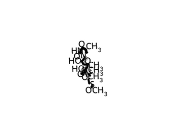 CC(=O)SCCOP(=O)(OC[C@@]1(C)O[C@@H](n2cc(C)c(=O)[nH]c2=O)[C@@H](O)C1O)N(C)C